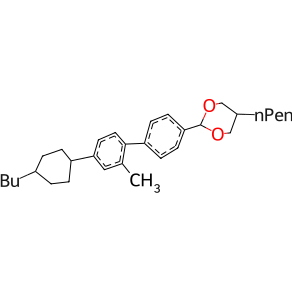 CCCCCC1COC(c2ccc(-c3ccc(C4CCC(CCCC)CC4)cc3C)cc2)OC1